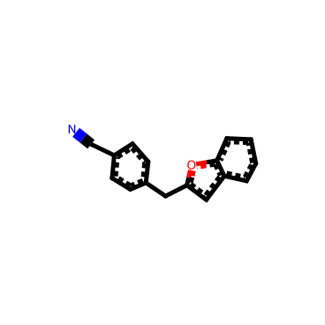 N#Cc1ccc(Cc2cc3ccccc3o2)cc1